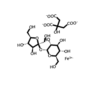 O=C([O-])CC(O)(CC(=O)[O-])C(=O)[O-].OC[C@H]1O[C@@](CO)(O[C@H]2O[C@H](CO)[C@@H](O)[C@H](O)[C@H]2O)[C@@H](O)[C@@H]1O.[Fe+3]